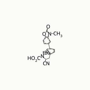 Cn1c(=O)oc2ccc(-c3ccc(C[C@@H](C#N)N(C(=O)O)C(C)(C)C)s3)cc21